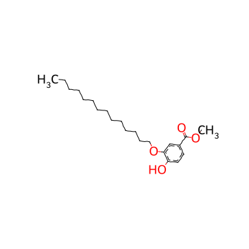 CCCCCCCCCCCCCCOc1cc(C(=O)OC)ccc1O